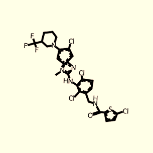 Cn1c(Nc2c(Cl)ccc(CNC(=O)c3ccc(Cl)s3)c2Cl)nc2cc(Cl)c(N3CCCC(C(F)(F)F)C3)cc21